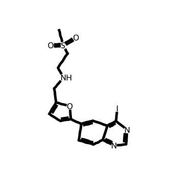 CS(=O)(=O)CCNCc1ccc(-c2ccc3ncnc(I)c3c2)o1